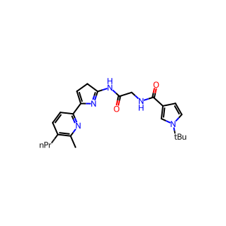 CCCc1ccc(C2=CCC(NC(=O)CNC(=O)c3ccn(C(C)(C)C)c3)=N2)nc1C